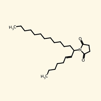 CCCCCC=CC(CCCCCCCCCCCC)N1C(=O)CCC1=O